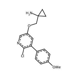 COc1ccc(-c2cc(OCC3(N)CC3)cnc2Cl)cc1